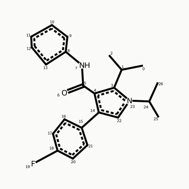 CC(C)c1c(C(=O)Nc2ccccc2)c(-c2ccc(F)cc2)cn1C(C)C